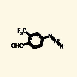 [N-]=[N+]=Nc1ccc(C=O)c(C(F)(F)F)c1